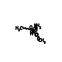 CCCCCCCC(=O)N[C@H](CC(N)=O)C(=O)Nc1ccc(COC)cc1